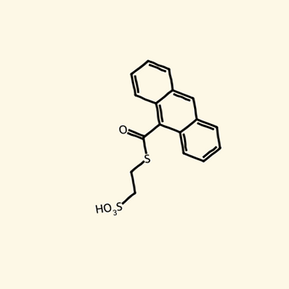 O=C(SCCS(=O)(=O)O)c1c2ccccc2cc2ccccc12